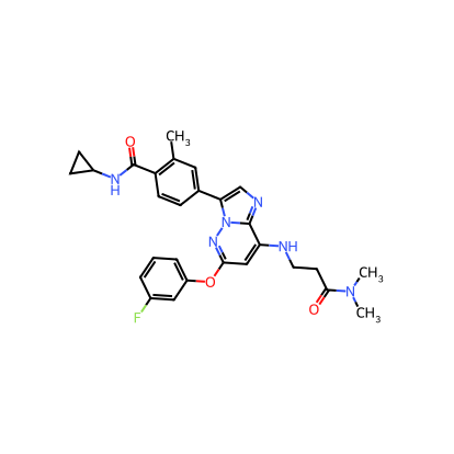 Cc1cc(-c2cnc3c(NCCC(=O)N(C)C)cc(Oc4cccc(F)c4)nn23)ccc1C(=O)NC1CC1